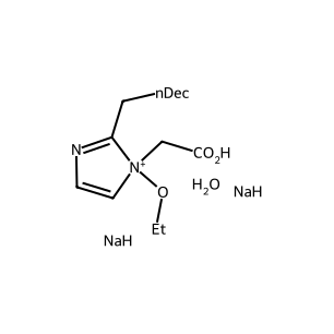 CCCCCCCCCCCC1=NC=C[N+]1(CC(=O)O)OCC.O.[NaH].[NaH]